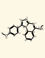 CNc1nc2nnc(-c3ccc(OC)cc3)n2c2ccccc12